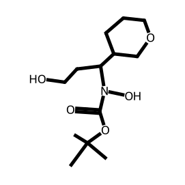 CC(C)(C)OC(=O)N(O)C(CCO)C1CCCOC1